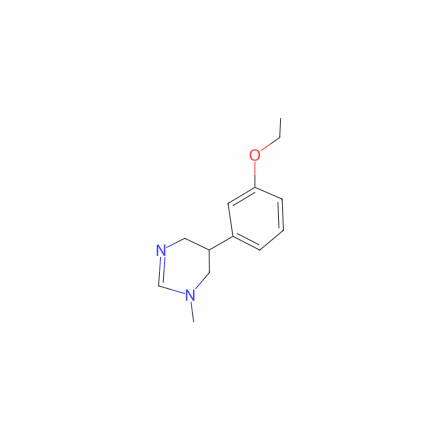 CCOc1cccc(C2CN=CN(C)C2)c1